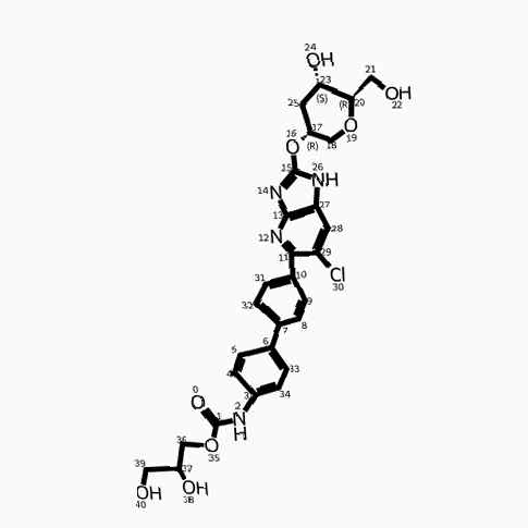 O=C(Nc1ccc(-c2ccc(-c3nc4nc(O[C@H]5CO[C@H](CO)[C@@H](O)C5)[nH]c4cc3Cl)cc2)cc1)OCC(O)CO